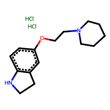 Cl.Cl.c1cc2c(cc1OCCN1CCCCC1)CCN2